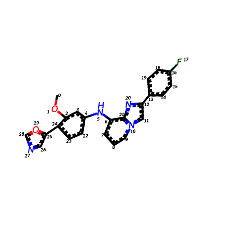 COc1cc(Nc2cccn3cc(-c4ccc(F)cc4)nc23)ccc1-c1cnco1